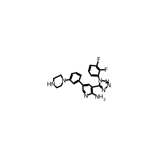 Nc1ncc(-c2cccc(N3CCNCC3)c2)cc1-c1nnnn1-c1cccc(F)c1F